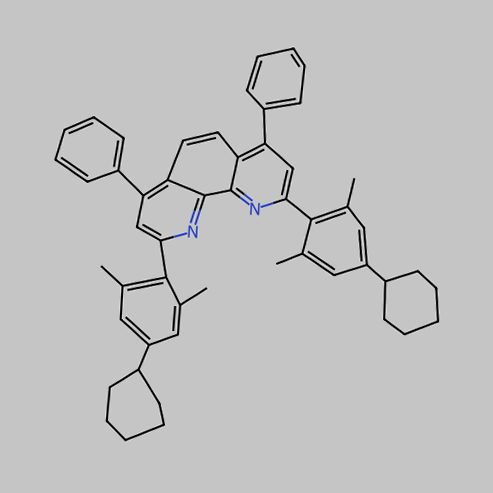 Cc1cc(C2CCCCC2)cc(C)c1-c1cc(-c2ccccc2)c2ccc3c(-c4ccccc4)cc(-c4c(C)cc(C5CCCCC5)cc4C)nc3c2n1